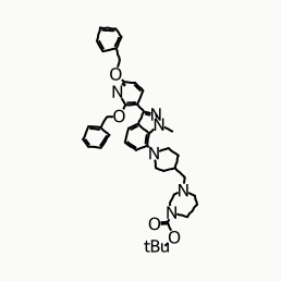 Cn1nc(-c2ccc(OCc3ccccc3)nc2OCc2ccccc2)c2cccc(N3CCC(CN4CCCN(C(=O)OC(C)(C)C)CC4)CC3)c21